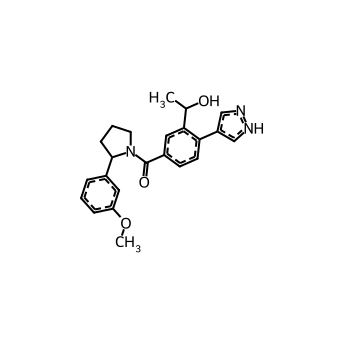 COc1cccc(C2CCCN2C(=O)c2ccc(-c3cn[nH]c3)c(C(C)O)c2)c1